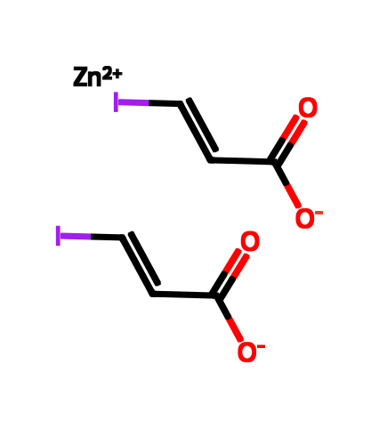 O=C([O-])/C=C/I.O=C([O-])/C=C/I.[Zn+2]